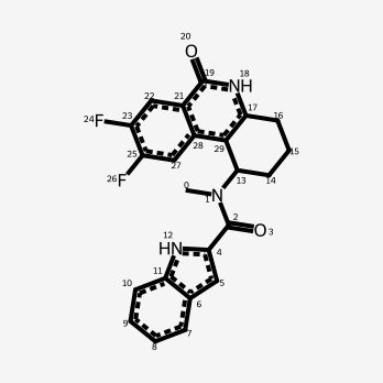 CN(C(=O)c1cc2ccccc2[nH]1)C1CCCc2[nH]c(=O)c3cc(F)c(F)cc3c21